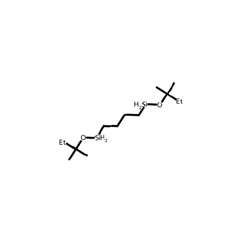 CCC(C)(C)O[SiH2]CCCC[SiH2]OC(C)(C)CC